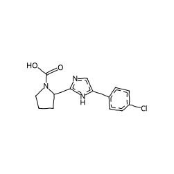 O=C(O)N1CCCC1c1ncc(-c2ccc(Cl)cc2)[nH]1